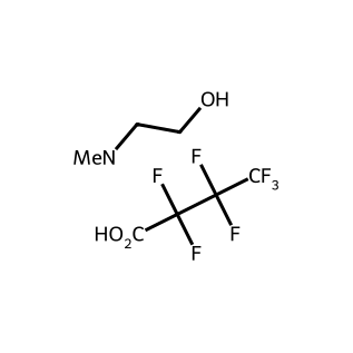 CNCCO.O=C(O)C(F)(F)C(F)(F)C(F)(F)F